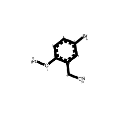 CC(C)Oc1ccc(Br)cc1CC#N